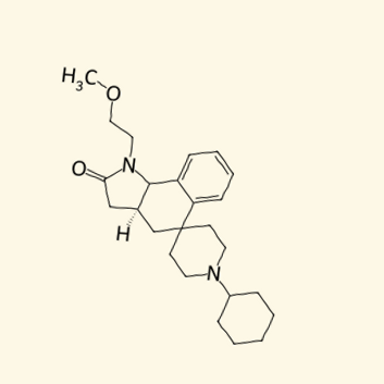 COCCN1C(=O)C[C@@H]2CC3(CCN(C4CCCCC4)CC3)c3ccccc3C21